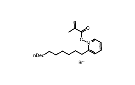 C=C(C)C(=O)O[n+]1ccccc1CCCCCCCCCCCCCCCC.[Br-]